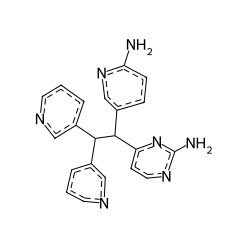 Nc1ccc(C(c2ccnc(N)n2)C(c2cccnc2)c2cccnc2)cn1